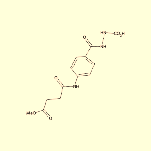 COC(=O)CCC(=O)Nc1ccc(C(=O)NNC(=O)O)cc1